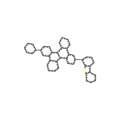 c1ccc(-c2ccc3c(c2)c2ccccc2c2c4ccc(-c5cccc6c5sc5ccccc56)cc4c4ccccc4c32)cc1